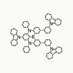 c1ccc(N2c3ccc(-c4cccc(-n5c6ccccc6c6ccccc65)c4)cc3B3c4cc(-c5cccc(-n6c7ccccc7c7ccccc76)c5)ccc4N(c4ccccc4)c4cc(-n5c6ccccc6c6ccccc65)cc2c43)cc1